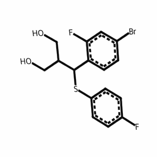 OCC(CO)C(Sc1ccc(F)cc1)c1ccc(Br)cc1F